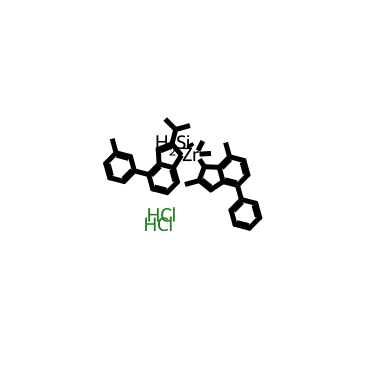 CC1=Cc2c(-c3ccccc3)ccc(C)c2[CH]1[Zr]([CH3])([CH3])(=[SiH2])[CH]1C(C(C)C)=Cc2c(-c3cccc(C)c3)cccc21.Cl.Cl